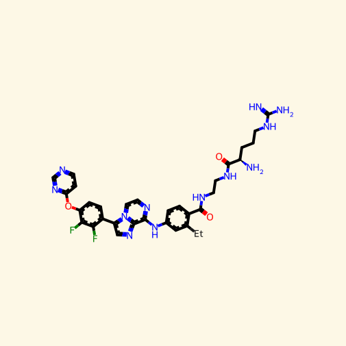 CCc1cc(Nc2nccn3c(-c4ccc(Oc5ccncn5)c(F)c4F)cnc23)ccc1C(=O)NCCNC(=O)[C@H](N)CCCNC(=N)N